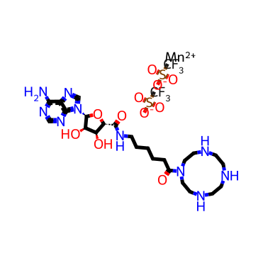 Nc1ncnc2c1ncn2[C@@H]1O[C@H](C(=O)NCCCCCC(=O)N2CCNCCNCCNCC2)[C@@H](O)[C@H]1O.O=S(=O)([O-])C(F)(F)F.O=S(=O)([O-])C(F)(F)F.[Mn+2]